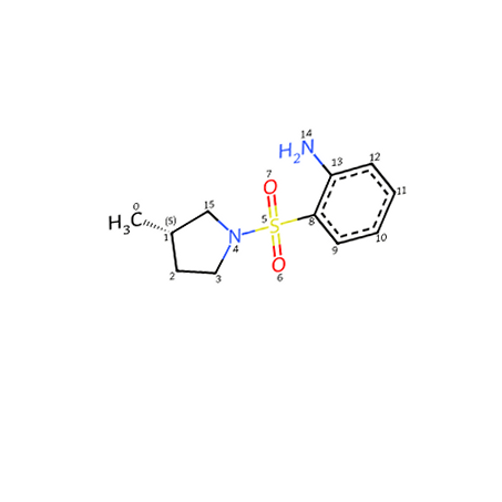 C[C@H]1CCN(S(=O)(=O)c2ccccc2N)C1